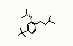 CC(=O)CCc1ccc(C(C)(C)C)cc1O[SiH](C)C